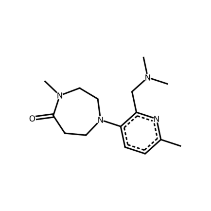 Cc1ccc(N2CCC(=O)N(C)CC2)c(CN(C)C)n1